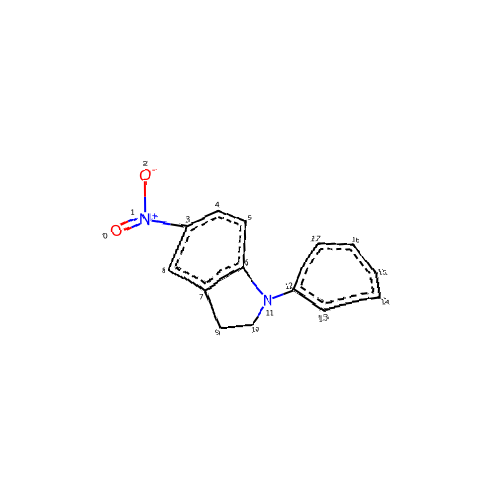 O=[N+]([O-])c1ccc2c(c1)CCN2c1c[c]ccc1